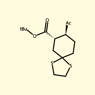 CC(=O)[C@H]1CCC2(C[C@@H]1C(=O)OC(C)(C)C)SCCS2